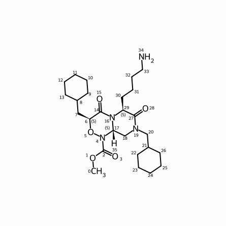 COC(=O)N1O[C@@H](CC2CCCCC2)C(=O)N2[C@@H]1CN(CC1CCCCC1)C(=O)[C@@H]2CCCCN